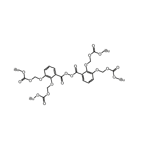 CCC(C)OC(=O)OCOc1cccc(C(=O)OOC(=O)c2cccc(OCOC(=O)OC(C)CC)c2OCOC(=O)OC(C)CC)c1OCOC(=O)OC(C)CC